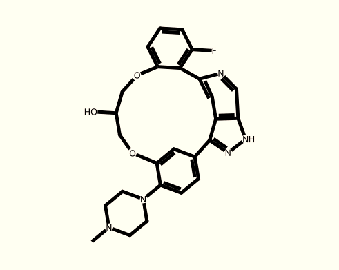 CN1CCN(c2ccc3cc2OCC(O)COc2cccc(F)c2-c2cc4c-3n[nH]c4cn2)CC1